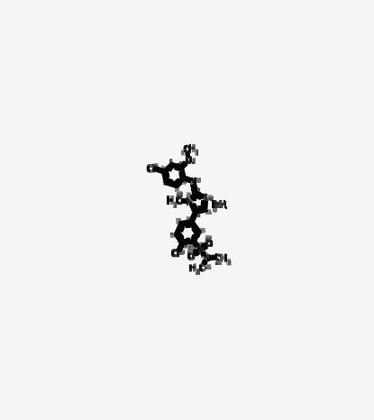 Br.COc1cc(Cl)ccc1/N=c1/scc(-c2ccc(Cl)c(S(=O)(=O)N(C)C)c2)n1C